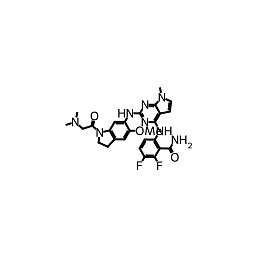 COc1cc2c(cc1Nc1nc(Nc3ccc(F)c(F)c3C(N)=O)c3ccn(C)c3n1)N(C(=O)CN(C)C)CC2